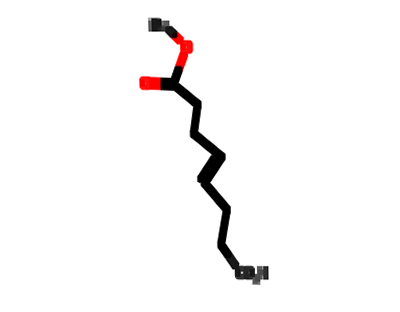 CCC(C)OC(=O)CCC=CCCC(=O)O